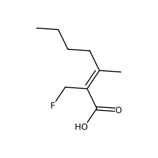 CCCCC(C)=C(CF)C(=O)O